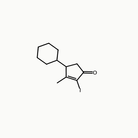 CC1=C(I)C(=O)CC1C1CCCCC1